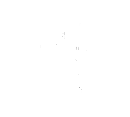 O=C(Nc1ccc(F)cc1C(=O)Nc1ccc(F)cn1)c1ccc(N2CCCNCC2)cn1